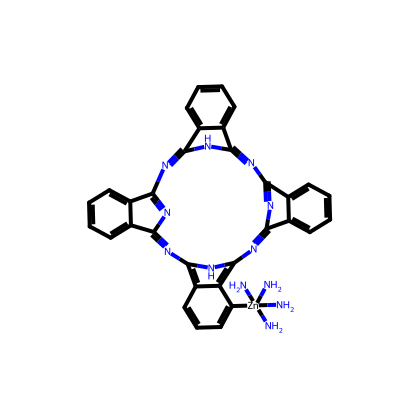 [NH2][Zn]([NH2])([NH2])([NH2])[c]1cccc2c3nc4nc(nc5[nH]c(nc6nc(nc([nH]3)c12)-c1ccccc1-6)c1ccccc51)-c1ccccc1-4